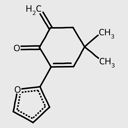 C=C1CC(C)(C)C=C(c2ccco2)C1=O